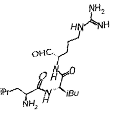 CC[C@H](C)[C@H](NC(=O)[C@@H](N)CC(C)C)C(=O)N[C@H](C=O)CCCNC(=N)N